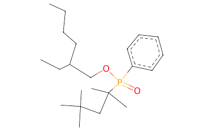 CCCCC(CC)COP(=O)(c1ccccc1)C(C)(C)CC(C)(C)C